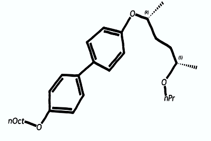 CCCCCCCCOc1ccc(-c2ccc(O[C@H](C)CC[C@H](C)OCCC)cc2)cc1